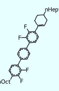 CCCCCCCCc1ccc(-c2ccc(-c3ccc(C4=CCC(CCCCCCC)CC4)c(F)c3F)cc2)c(F)c1F